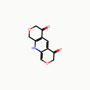 O=C1COC=C2NC3=C(C=C12)C(=O)COC3